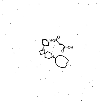 O=C(O)C=CC(=O)O.c1ccc(N2CCC23CCN(C2CCCCCCCCC2)CC3)cc1